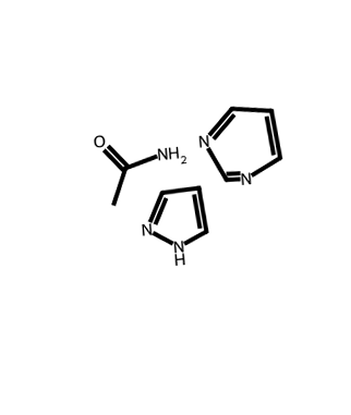 CC(N)=O.c1cn[nH]c1.c1cncnc1